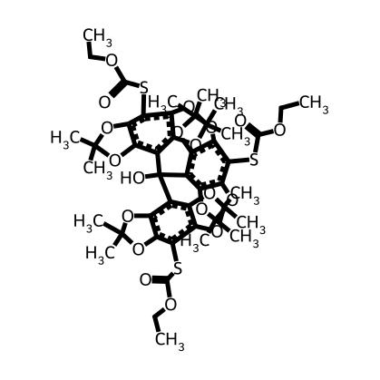 CCOC(=O)Sc1c2c(c(C(O)(c3c4c(c(SC(=O)OCC)c5c3OC(C)(C)O5)OC(C)(C)O4)c3c4c(c(SC(=O)OCC)c5c3OC(C)(C)O5)OC(C)(C)O4)c3c1OC(C)(C)O3)OC(C)(C)O2